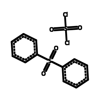 O=S(=O)(Cl)Cl.O=S(=O)(c1ccccc1)c1ccccc1